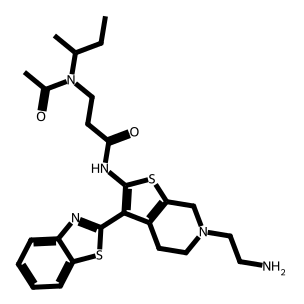 CCC(C)N(CCC(=O)Nc1sc2c(c1-c1nc3ccccc3s1)CCN(CCN)C2)C(C)=O